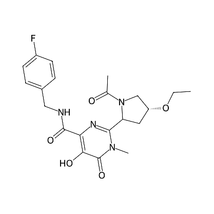 CCO[C@@H]1CC(c2nc(C(=O)NCc3ccc(F)cc3)c(O)c(=O)n2C)N(C(C)=O)C1